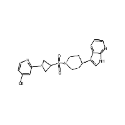 N#Cc1ccnc(N2CC(S(=O)(=O)N3CCC(c4c[nH]c5ncccc45)CC3)C2)c1